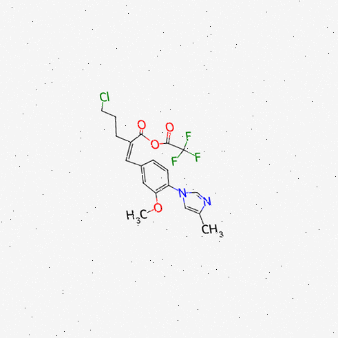 COc1cc(C=C(CCCCl)C(=O)OC(=O)C(F)(F)F)ccc1-n1cnc(C)c1